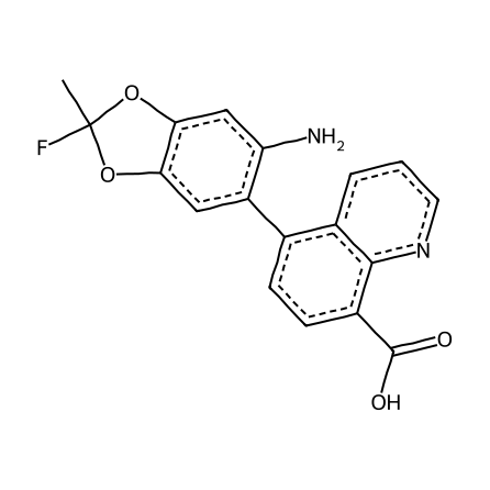 CC1(F)Oc2cc(N)c(-c3ccc(C(=O)O)c4ncccc34)cc2O1